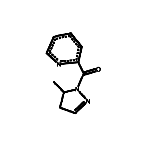 CC1CC=NN1C(=O)c1ccccn1